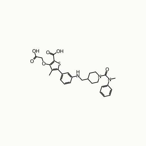 Cc1c(-c2cccc(NCC3CCN(C(=O)N(C)c4ccccc4)CC3)c2)sc(C(=O)O)c1OCC(=O)O